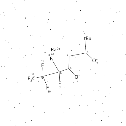 CC(C)(C)C([O-])CC([O-])C(F)(F)C(F)(F)C(F)(F)F.[Ba+2]